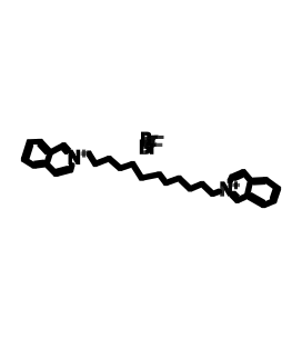 [Br-].[Br-].c1ccc2c[n+](CCCCCCCCCCCC[n+]3ccc4ccccc4c3)ccc2c1